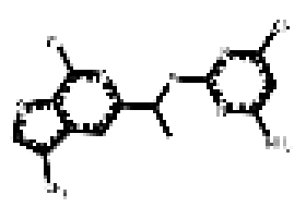 CC(Sc1nc(N)cc(C#N)n1)c1cc2c(C(F)(F)F)csc2c(Cl)n1